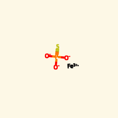 [Fe+3].[O-]P([O-])([O-])=S